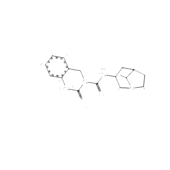 CC1C2CCN1CC(NC(=O)N1Cc3ccccc3NC1=O)C2